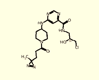 CC1(CCC(=O)N2CCC(Nc3cc(C(=O)NC[C@H](O)CCl)ncn3)CC2)N=N1